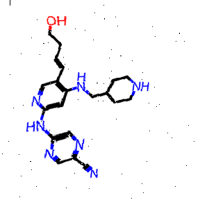 N#Cc1cnc(Nc2cc(NCC3CCNCC3)c(C=CCCO)cn2)cn1